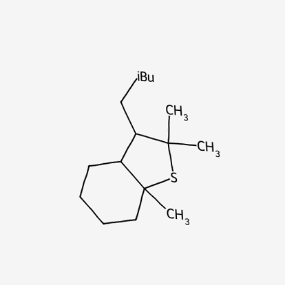 CCC(C)CC1C2CCCCC2(C)SC1(C)C